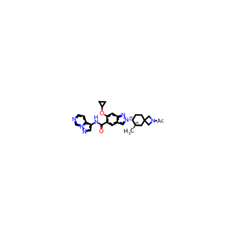 CC(=O)N1CC2(CC[C@@H](n3cc4cc(C(=O)Nc5cnn6cnccc56)c(OC5CC5)cc4n3)[C@H](C)C2)C1